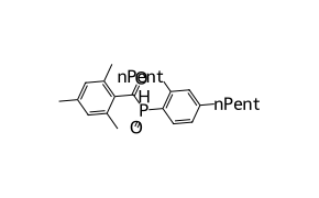 CCCCCc1ccc([PH](=O)C(=O)c2c(C)cc(C)cc2C)c(CCCCC)c1